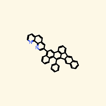 c1ccc(-c2c3c4c(cccc4c4cc(-c5cnc6c(ccc7cccnc76)c5)c5ccccc5c24)-c2cc4ccccc4cc2-3)cc1